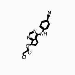 N#Cc1ccc(Nc2ncnc3c2CCC3OC(=O)CCl)cc1